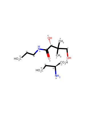 CC(C)(CO)[C@@H](O)C(=O)NCCC(=O)O.N[C@@H](CC(=O)O)C(=O)O